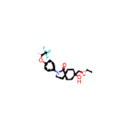 CCOCC1(O)CCC2(CCN(c3ccc(O[C@H](C)C(F)(F)F)cc3)C2=O)CC1